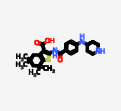 CC1(C)Cc2c(sc(NC(=O)c3ccc(NC4CCNCC4)cc3)c2C(=O)O)C(C)(C)C1